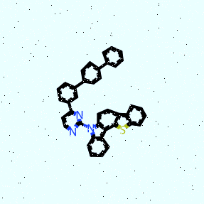 c1ccc(-c2ccc(-c3cccc(-c4ccnc(-n5c6ccccc6c6c7sc8ccccc8c7ccc65)n4)c3)cc2)cc1